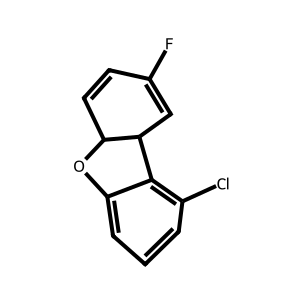 FC1=CC2c3c(Cl)cccc3OC2C=C1